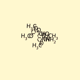 COc1ccc(OC)c(C(=O)C(C)=Cc2ccc(OC)c(NC(=O)C(N)C(C)O)c2)c1